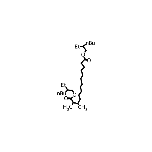 CCCCC(CC)COC(=O)CCCCCCCCCCC(C)C(C)C(=O)OCC(CC)CCCC